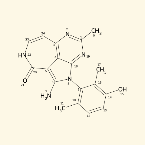 Cc1nc2c3c(c(N)n(-c4c(C)ccc(O)c4C)c3n1)C(=O)NC=C2